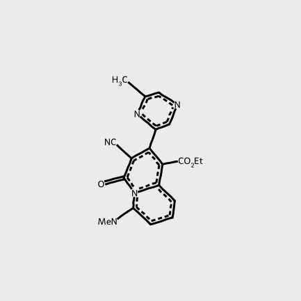 CCOC(=O)c1c(-c2cncc(C)n2)c(C#N)c(=O)n2c(NC)cccc12